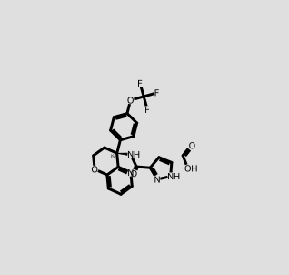 O=C(N[C@]1(c2ccc(OC(F)(F)F)cc2)CCOc2cccnc21)c1cc[nH]n1.O=CO